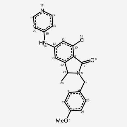 COc1ccc(CN2C(=O)c3c(Cl)cc(Nc4ccncn4)cc3C2C)cc1